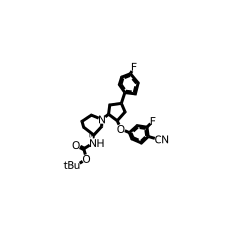 CC(C)(C)OC(=O)N[C@@H]1CCCN(C2CC(c3ccc(F)cc3)CC2Oc2ccc(C#N)c(F)c2)C1